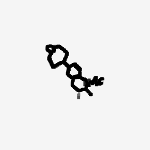 CC(=O)N1c2ccc(C3CCOCC3)cc2C[C@@H](C)[C@@H]1C